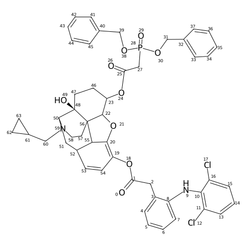 O=C(Cc1ccccc1Nc1c(Cl)cccc1Cl)OC1=C2OC3C(OC(=O)CP(=O)(OCc4ccccc4)OCc4ccccc4)CC[C@@]4(O)C5CC(C=C1)C2C34CCN5CC1CC1